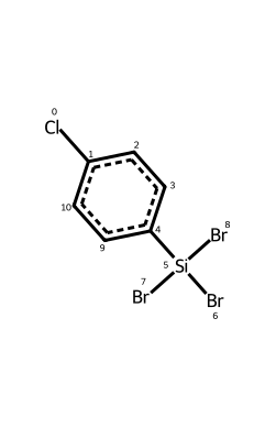 Clc1ccc([Si](Br)(Br)Br)cc1